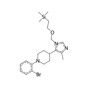 Cc1ncn(COCC[Si](C)(C)C)c1C1CCN(c2ccccc2Br)CC1